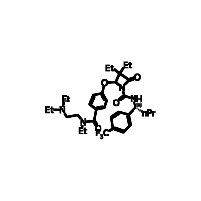 CCC[C@@H](NC(=O)N1C(=O)C(CC)(CC)C1Oc1ccc(C(=O)N(CC)CCN(CC)CC)cc1)c1ccc(C(F)(F)F)cc1